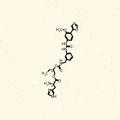 CC[C@H](COC(=O)[C@H](N)Cc1c[nH]cn1)OC(=O)NCc1cccc(NC(=O)Nc2ccc(-c3cnco3)c(OC)c2)c1